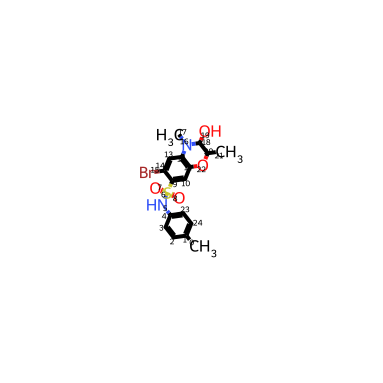 Cc1ccc(NS(=O)(=O)c2cc3c(cc2Br)N(C)C(O)C(C)O3)cc1